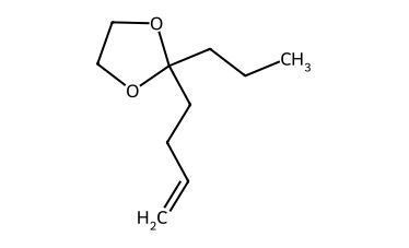 C=CCCC1(CCC)OCCO1